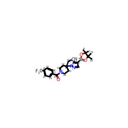 CC1(C)OB(c2cnn(C3(CC#N)CCN(C(=O)c4ccc(C(F)(F)F)cc4)CC3)c2)OC1(C)C